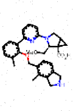 COC[C@H]1N(c2cccc(-c3cccc(C)c3OCc3ccc4c(c3C)CNC4)n2)CC2C[C@@]21C(=O)O